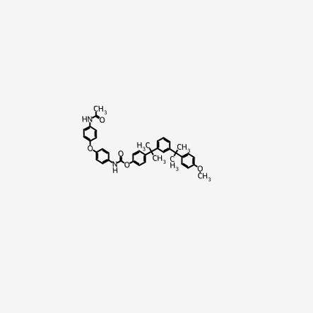 COc1ccc(C(C)(C)c2cccc(C(C)(C)c3ccc(OC(=O)Nc4ccc(Oc5ccc(NC(C)=O)cc5)cc4)cc3)c2)cc1